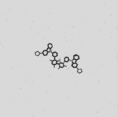 Cc1cc(C)c2c(sc3c(-c4cccc(-n5c6ccccc6c6cc(C7CCCC7)ccc65)c4)c(C)cc(C)c32)c1-c1cccc(-n2c3ccccc3c3cc(C4CCCC4)ccc32)c1